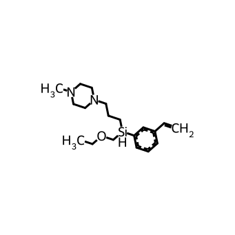 C=Cc1cccc([SiH](CCCN2CCN(C)CC2)COCC)c1